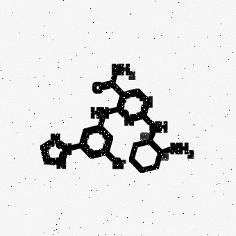 NC(=O)c1cnc(N[C@@H]2CCCC[C@@H]2N)nc1Nc1cc(Br)cc(-n2nccn2)c1